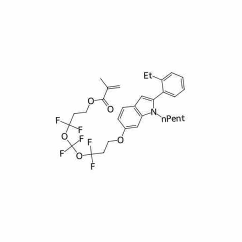 C=C(C)C(=O)OCCC(F)(F)OC(F)(F)OC(F)(F)CCOc1ccc2cc(-c3ccccc3CC)n(CCCCC)c2c1